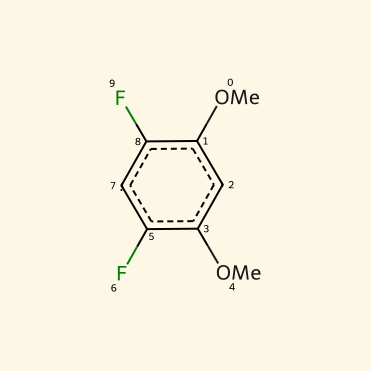 COc1cc(OC)c(F)[c]c1F